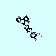 Cc1cnc(N2CC3CN(C(=O)c4c(F)cccc4-n4nccn4)CC3C2)nc1C(F)(F)F